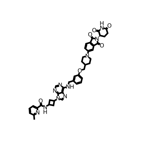 Cc1cccc(C(=O)NC2CC(n3cnc4c(NCc5cccc(OCC6CCN(c7ccc8c(c7)C(=O)N([C@H]7CCC(=O)NC7=O)C8=O)CC6)c5)ncnc43)C2)n1